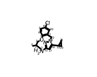 CC(C)COc1ccc(Cl)cc1Cn1nc(N)cc1C1CC1